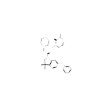 CC1NCCN(C[C@H]2CN[C@H](C)CN2CC(=O)N2CC(C)(C)c3ncc(Cc4ccc(F)cc4)cc32)C1=O